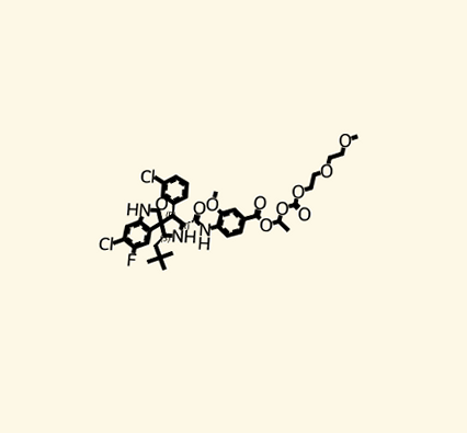 COCCOCCOC(=O)OC(C)OC(=O)c1ccc(NC(=O)[C@@H]2N[C@@H](CC(C)(C)C)C3(C(=O)Nc4cc(Cl)c(F)cc43)[C@H]2c2cccc(Cl)c2)c(OC)c1